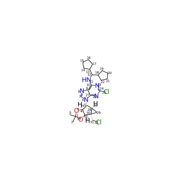 CC1(C)O[C@H]2[C@H](n3cnc4c(NC(C5CCCC5)C5CCCC5)nc(Cl)nc43)[C@H]3C[C@@]3(CCl)[C@H]2O1